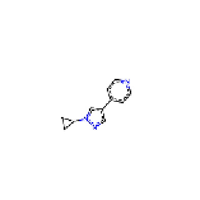 c1cc(-c2cnn(C3CC3)c2)ccn1